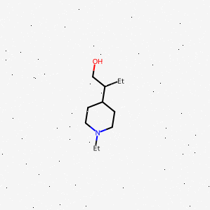 CCC(CO)C1CCN(CC)CC1